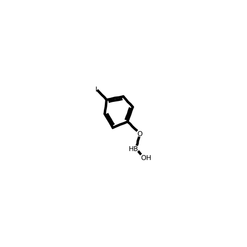 OBOc1ccc(I)cc1